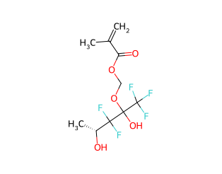 C=C(C)C(=O)OCOC(O)(C(F)(F)F)C(F)(F)[C@@H](C)O